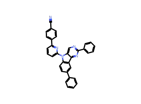 N#Cc1ccc(-c2cccc(-n3c4ccc(-c5ccccc5)cc4c4nc(-c5ccccc5)ncc43)n2)cc1